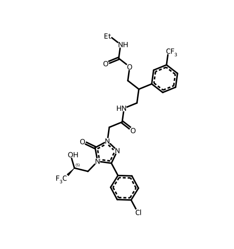 CCNC(=O)OCC(CNC(=O)Cn1nc(-c2ccc(Cl)cc2)n(C[C@H](O)C(F)(F)F)c1=O)c1cccc(C(F)(F)F)c1